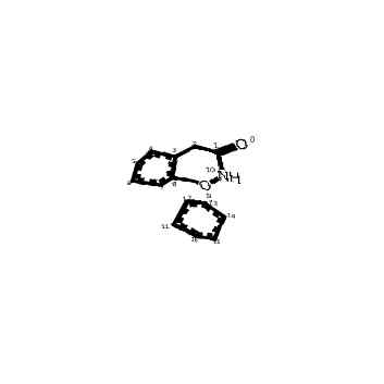 O=C1Cc2ccccc2ON1.c1ccccc1